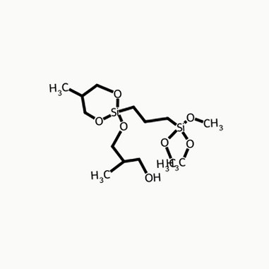 CO[Si](CCC[Si]1(OCC(C)CO)OCC(C)CO1)(OC)OC